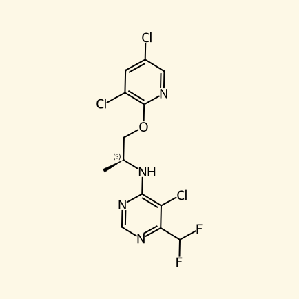 C[C@@H](COc1ncc(Cl)cc1Cl)Nc1ncnc(C(F)F)c1Cl